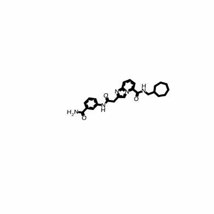 NC(=O)c1cccc(NC(=O)Cc2cn3c(C(=O)NCC4CCCCCC4)cccc3n2)c1